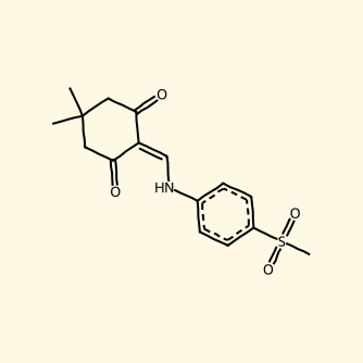 CC1(C)CC(=O)C(=CNc2ccc(S(C)(=O)=O)cc2)C(=O)C1